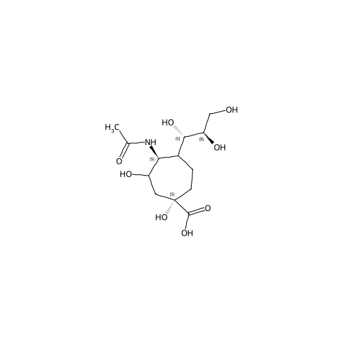 CC(=O)N[C@@H]1C(O)C[C@](O)(C(=O)O)CCC1[C@H](O)[C@H](O)CO